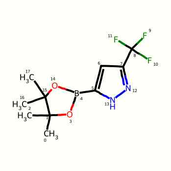 CC1(C)OB(c2cc(C(F)(F)F)n[nH]2)OC1(C)C